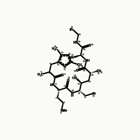 CSCC[C@H](NC(=O)C(C)Cn1nc(C)cc1C)C(=O)N[C@@H](CC(C)C)[C@@H](O)C[C@@H](C)C(=O)N[C@H](C(=O)NCC(C)C)C(C)C